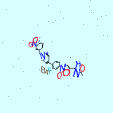 CC(=O)NCC1CN(c2ccc(-c3cc[n+](Cc4cccc([N+](=O)[O-])c4)cc3)c(F)c2)C(=O)O1.[Br-]